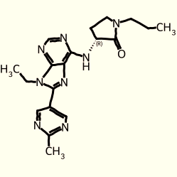 CCCN1CC[C@@H](Nc2ncnc3c2nc(-c2cnc(C)nc2)n3CC)C1=O